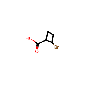 O=C(O)C1CCC1Br